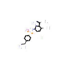 Cc1ccc(NS(=O)(=O)c2ccc(CCN)cc2)c2[nH]cc(C#N)c12.Cl